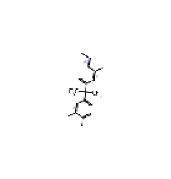 C=C(C)/C(C)=C\C(=C)C(C(=C)/C=C(C)\C=C\C)(C(F)(F)F)C(F)(F)F